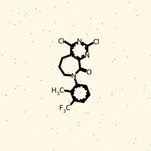 Cc1c(N2CCCc3c(Cl)nc(Cl)nc3C2=O)cccc1C(F)(F)F